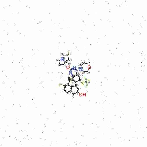 C#Cc1c(F)ccc2cc(O)cc(-c3c(SC(F)(F)F)cc4c(N5CCCOCC5)nc(OC[C@@]56CCCN5C[C@H](F)C6)nc4c3F)c12